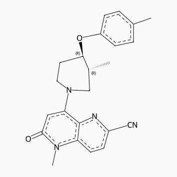 Cc1ccc(O[C@@H]2CCN(c3cc(=O)n(C)c4ccc(C#N)nc34)C[C@H]2C)cc1